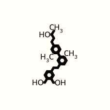 CCC(O)CCc1ccc(-c2cc(CCc3ccc(CO)c(CO)c3)ccc2C)c(C)c1